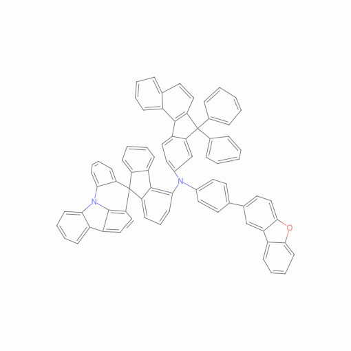 c1ccc(C2(c3ccccc3)c3cc(N(c4ccc(-c5ccc6oc7ccccc7c6c5)cc4)c4cccc5c4-c4ccccc4C54c5ccccc5-n5c6ccccc6c6cccc4c65)ccc3-c3c2ccc2ccccc32)cc1